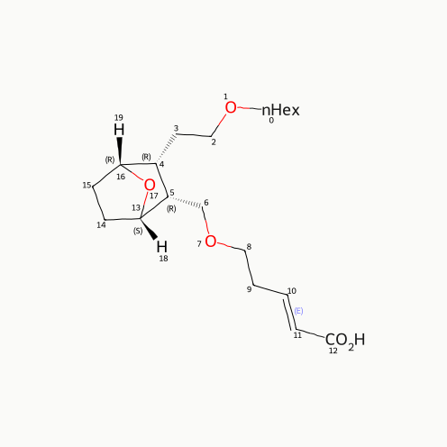 CCCCCCOCC[C@@H]1[C@H](COCC/C=C/C(=O)O)[C@@H]2CC[C@H]1O2